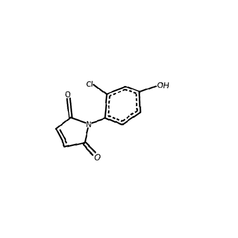 O=C1C=CC(=O)N1c1ccc(O)cc1Cl